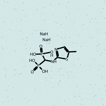 Cc1cnc(NC(P(=O)(O)O)P(=O)(O)O)s1.[NaH].[NaH]